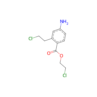 Nc1ccc(C(=O)OCCCl)c(CCCl)c1